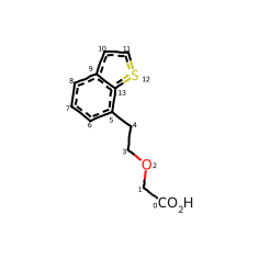 O=C(O)COCCc1cccc2ccsc12